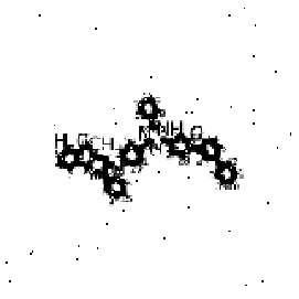 CC1(C)c2ccccc2-c2cc3c4ccccc4n(-c4ccc(C5=NC(c6ccc7c(c6)oc6ccc(-c8ccccc8)cc67)NC(c6ccccc6)=N5)cc4)c3cc21